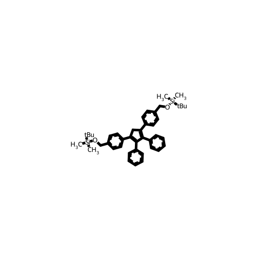 CC(C)(C)[Si](C)(C)OCc1ccc(C2=C(c3ccccc3)C(c3ccccc3)=C(c3ccc(CO[Si](C)(C)C(C)(C)C)cc3)C2)cc1